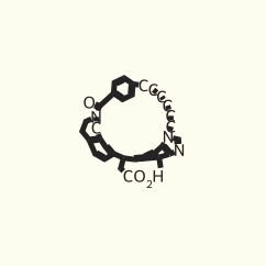 Cc1c2ccc3c1ncn3CCCCCCc1ccc(cc1)C(=O)N1CCc3ccc(cc3C1)C2CC(=O)O